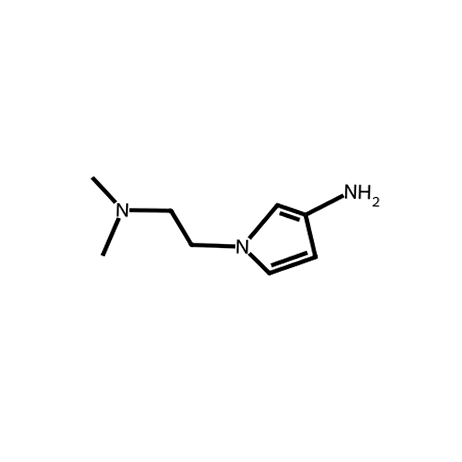 CN(C)CCn1ccc(N)c1